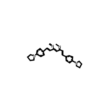 C=NC(=C\C(\C=C\c1ccc(N2CCCC2)cc1)=N/C)/C=C/c1ccc(N2CCCC2)cc1